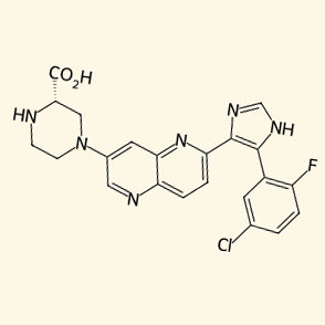 O=C(O)[C@@H]1CN(c2cnc3ccc(-c4nc[nH]c4-c4cc(Cl)ccc4F)nc3c2)CCN1